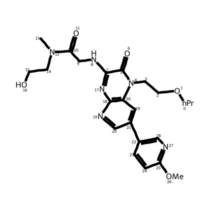 CCCOCCn1c(=O)c(NCC(=O)N(C)CCO)nc2ncc(-c3ccc(OC)nc3)cc21